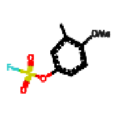 COc1ccc(OS(=O)(=O)F)cc1C